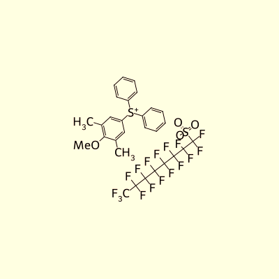 COc1c(C)cc([S+](c2ccccc2)c2ccccc2)cc1C.O=S(=O)([O-])C(F)(F)C(F)(F)C(F)(F)C(F)(F)C(F)(F)C(F)(F)C(F)(F)C(F)(F)F